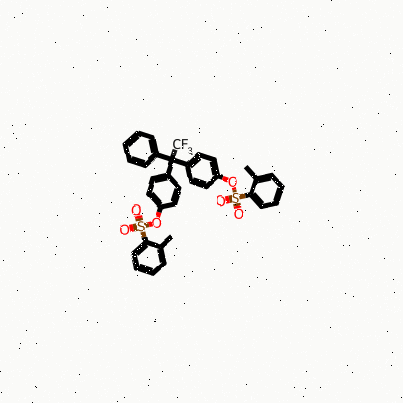 Cc1ccccc1S(=O)(=O)Oc1ccc(C(c2ccccc2)(c2ccc(OS(=O)(=O)c3ccccc3C)cc2)C(F)(F)F)cc1